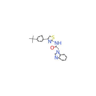 CC(C)(C)c1ccc(-c2csc(NC(=O)Cn3cnc4ccccc43)n2)cc1